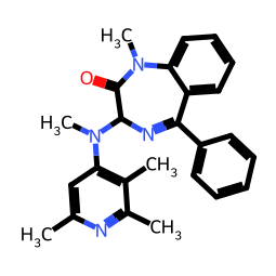 Cc1cc(N(C)C2N=C(c3ccccc3)c3ccccc3N(C)C2=O)c(C)c(C)n1